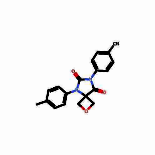 Cc1ccc(N2C(=O)N(c3ccc(C#N)cc3)C(=O)C23COC3)cc1